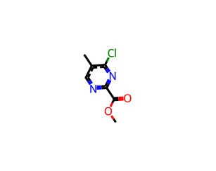 COC(=O)c1ncc(C)c(Cl)n1